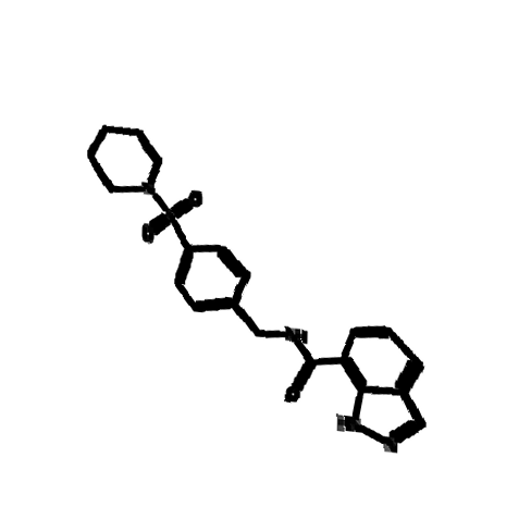 O=C(NCc1ccc(S(=O)(=O)N2CCCCC2)cc1)c1cccc2cn[nH]c12